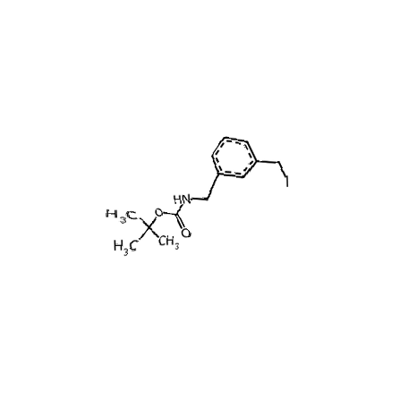 CC(C)(C)OC(=O)NCc1cccc(CI)c1